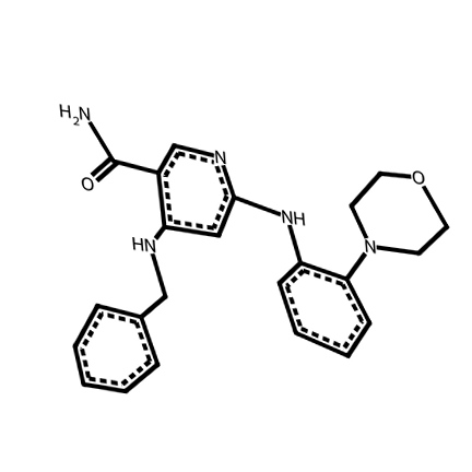 NC(=O)c1cnc(Nc2ccccc2N2CCOCC2)cc1NCc1ccccc1